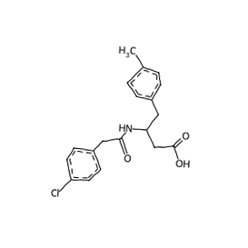 Cc1ccc(CC(CC(=O)O)NC(=O)Cc2ccc(Cl)cc2)cc1